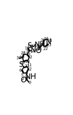 CC(=O)Nc1ccc(Sc2c(C)cc(-c3csc(NC(=O)c4ccncc4)n3)cc2C)cc1